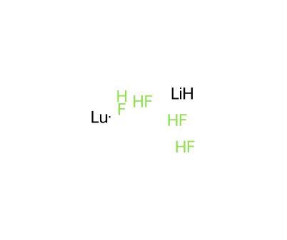 F.F.F.F.[LiH].[Lu]